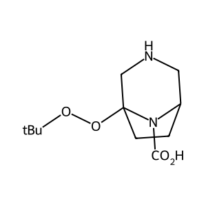 CC(C)(C)OOC12CCC(CNC1)N2C(=O)O